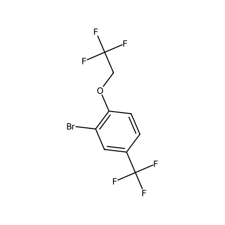 FC(F)(F)COc1ccc(C(F)(F)F)cc1Br